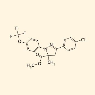 COC(=O)C1(C)CC(c2ccc(Cl)cc2)=NN1c1ccc(OC(F)(F)F)cc1